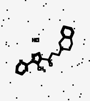 Cc1c(C(=O)CCN2CCc3ccccc3C2)cnn1-c1ncccn1.Cl